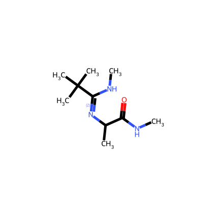 CNC(=O)C(C)/N=C(\NC)C(C)(C)C